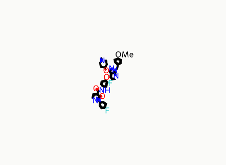 COc1ccc(Cn2nc(OC3CCN(C)CC3)c3c(Oc4ccc(NC(=O)c5ccnn(-c6ccc(F)cc6)c5=O)cc4F)ccnc32)cc1